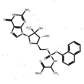 COC(=O)C(C)NP(=S)(OC[C@H]1O[C@@H](n2cnc3c(=O)[nH]c(N)nc32)[C@](C)(O)[C@@H]1O)Oc1cccc2ccccc12